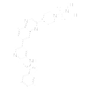 CN(C)S(=O)(=O)N1CCN(c2cnc3ccc(-c4cncc(NS(=O)(=O)c5ccccc5)c4)cc3n2)CC1